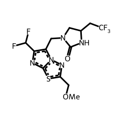 COCc1nn2c(CN3CC(CC(F)(F)F)NC3=O)c(C(F)F)nc2s1